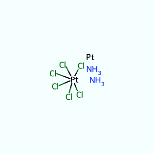 N.N.[Cl][Pt]([Cl])([Cl])([Cl])([Cl])[Cl].[Pt]